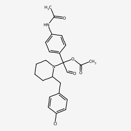 CC(=O)Nc1ccc(C(C=O)(OC(C)=O)N2CCCCC2Cc2ccc(Cl)cc2)cc1